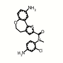 CN(C(=O)c1cc2c(s1)-c1cc(N)ccc1OCC2)c1ccc(N)cc1Cl